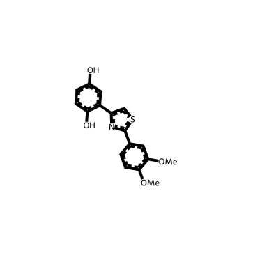 COc1ccc(-c2nc(-c3cc(O)ccc3O)cs2)cc1OC